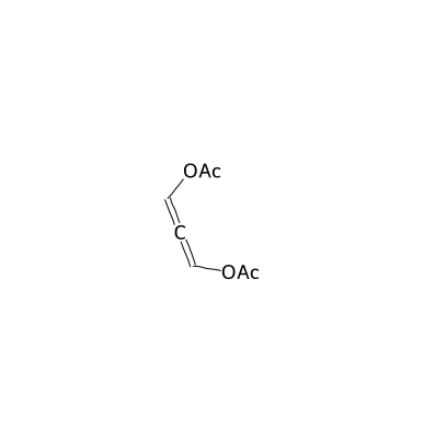 CC(=O)OC=C=COC(C)=O